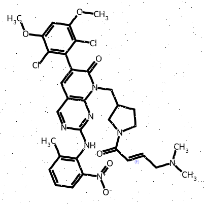 COc1cc(OC)c(Cl)c(-c2cc3cnc(Nc4c(C)cccc4[N+](=O)[O-])nc3n(CC3CCN(C(=O)/C=C/CN(C)C)C3)c2=O)c1Cl